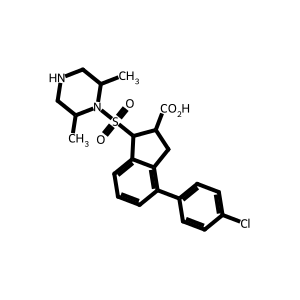 CC1CNCC(C)N1S(=O)(=O)C1c2cccc(-c3ccc(Cl)cc3)c2CC1C(=O)O